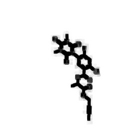 CC#CCOC(=O)C(C)OC(=O)c1cc(-n2c(=O)n(C)c(=O)n(C)c2=O)c(F)cc1Cl